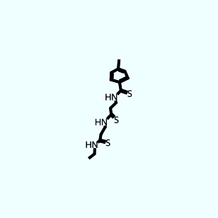 CCNC(=S)CCNC(=S)CCNC(=S)c1ccc(C)cc1